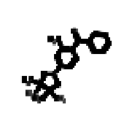 CC1(C)OB(c2ccc(C(=O)c3ccccc3)c([N+](=O)[O-])c2)OC1(C)C